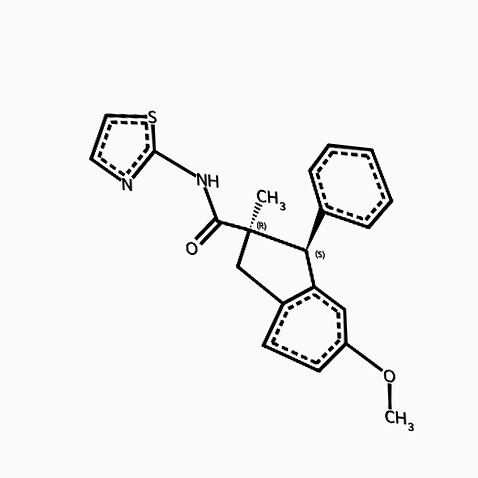 COc1ccc2c(c1)[C@H](c1ccccc1)[C@](C)(C(=O)Nc1nccs1)C2